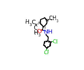 CC(C)[C@@H]1CC[C@@H](C)C[C@H]1C(=O)NCCc1ccc(Cl)cc1Cl